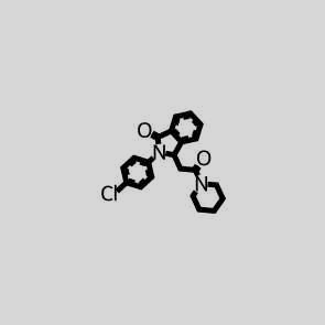 O=C(CC1c2ccccc2C(=O)N1c1ccc(Cl)cc1)N1CCCCC1